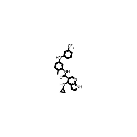 Cc1ccc(Nc2cccc(C(F)(F)F)c2)cc1NC(=O)c1cnc2[nH]ccc2c1NC1CC1